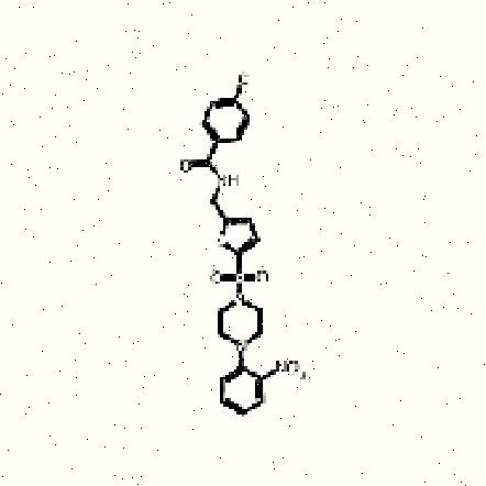 O=C(NCc1ccc(S(=O)(=O)N2CCN(c3ccccc3[N+](=O)[O-])CC2)s1)c1ccc(Cl)cc1